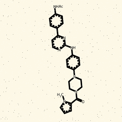 CC(=O)Nc1ccc(-c2ccnc(Nc3ccc(N4CCN(C(=O)c5cccn5C)CC4)cc3)n2)cc1